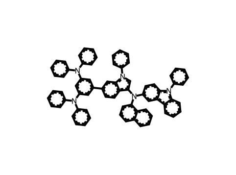 c1ccc(N(c2ccccc2)c2cc(-c3ccc4c(N(c5ccc6c(c5)c5ccccc5n6-c5ccccc5)c5cccc6ccccc56)cn(-c5ccccc5)c4c3)cc(N(c3ccccc3)c3ccccc3)c2)cc1